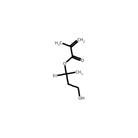 C=C(C)C(=O)OC(C)(CC)CCO